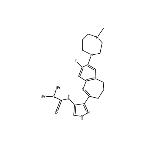 CC(C)N(C(=O)Nc1c[nH]nc1C1=Nc2cc(F)c(N3CCCN(C)CC3)cc2CCC1)C(C)C